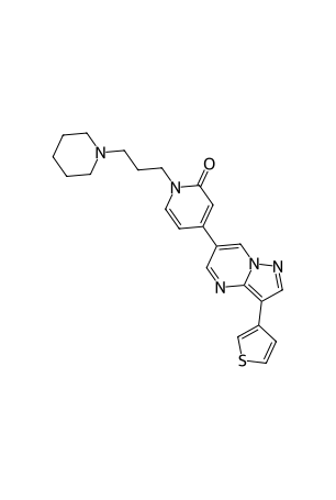 O=c1cc(-c2cnc3c(-c4ccsc4)cnn3c2)ccn1CCCN1CCCCC1